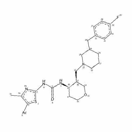 CC(=O)c1sc(NC(=O)N[C@@H]2CCOC[C@@H]2CN2CCCC(Cc3ccc(F)cc3)C2)nc1C